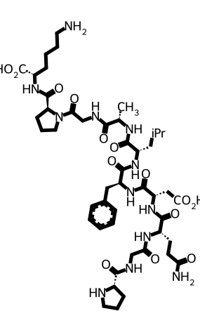 CC(C)C[C@H](NC(=O)[C@H](Cc1ccccc1)NC(=O)[C@H](CC(=O)O)NC(=O)[C@H](CCC(N)=O)NC(=O)CNC(=O)[C@@H]1CCCN1)C(=O)N[C@@H](C)C(=O)NCC(=O)N1CCC[C@H]1C(=O)N[C@@H](CCCCN)C(=O)O